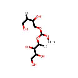 CCC(CO)C(O)COC(OC=O)OC(CC)C(O)C(O)CO